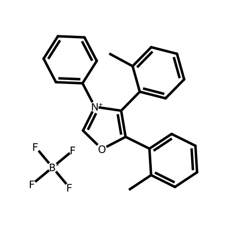 Cc1ccccc1-c1oc[n+](-c2ccccc2)c1-c1ccccc1C.F[B-](F)(F)F